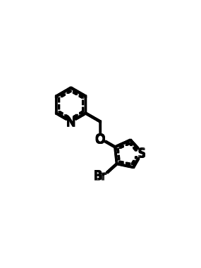 Brc1cscc1OCc1ccccn1